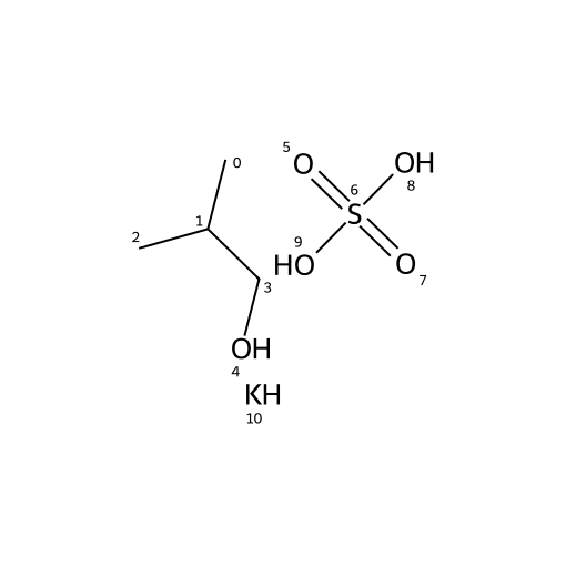 CC(C)CO.O=S(=O)(O)O.[KH]